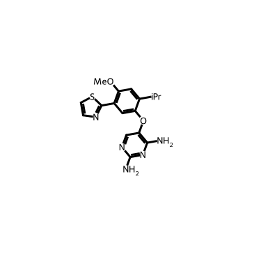 COc1cc(C(C)C)c(Oc2cnc(N)nc2N)cc1-c1nccs1